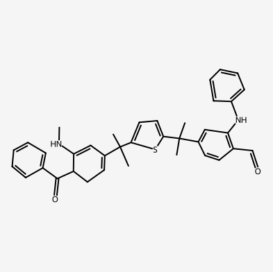 CNC1=CC(C(C)(C)c2ccc(C(C)(C)c3ccc(C=O)c(Nc4ccccc4)c3)s2)=CCC1C(=O)c1ccccc1